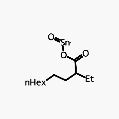 CCCCCCCCC(CC)C(=O)[O][Sn]=[O]